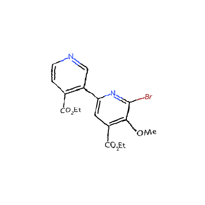 CCOC(=O)c1ccncc1-c1cc(C(=O)OCC)c(OC)c(Br)n1